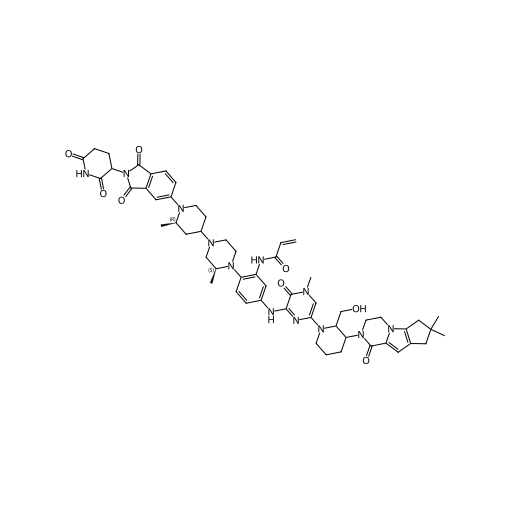 C=CC(=O)Nc1cc(Nc2nc(N3CCCC(N4CCn5c(cc6c5CC(C)(C)C6)C4=O)C3CO)cn(C)c2=O)ccc1N1CCN(C2CCN(c3ccc4c(c3)C(=O)N(C3CCC(=O)NC3=O)C4=O)[C@H](C)C2)C[C@@H]1C